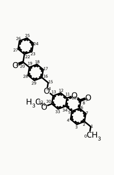 CCc1ccc2c(c1)c(=O)oc1cc(OCc3ccc(C(=O)c4ccccc4)cc3)c(OC)cc12